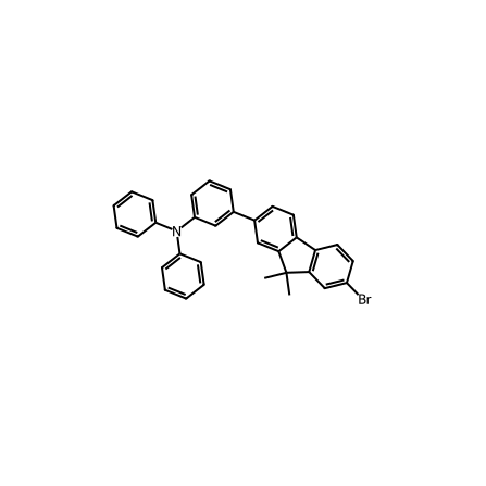 CC1(C)c2cc(Br)ccc2-c2ccc(-c3cccc(N(c4ccccc4)c4ccccc4)c3)cc21